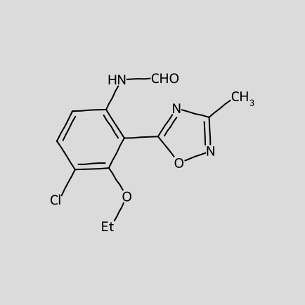 CCOc1c(Cl)ccc(NC=O)c1-c1nc(C)no1